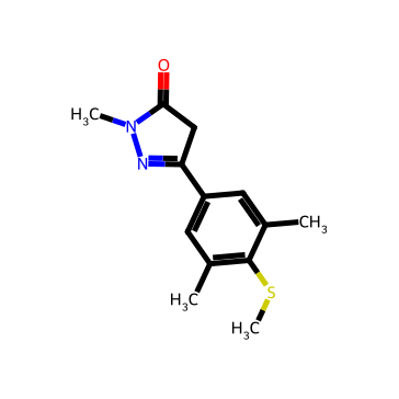 CSc1c(C)cc(C2=NN(C)C(=O)C2)cc1C